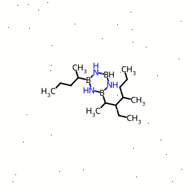 CCCC(C)B1NBNB(C(C)C(CC)C(C)CCC)N1